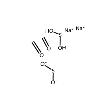 C=O.C=O.OSO.[Na+].[Na+].[O-]S[O-]